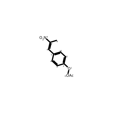 CC(=O)OOc1ccc(C=C(C)[N+](=O)[O-])cc1